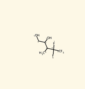 CC(C(O)CO)C(F)(F)C(F)(F)F